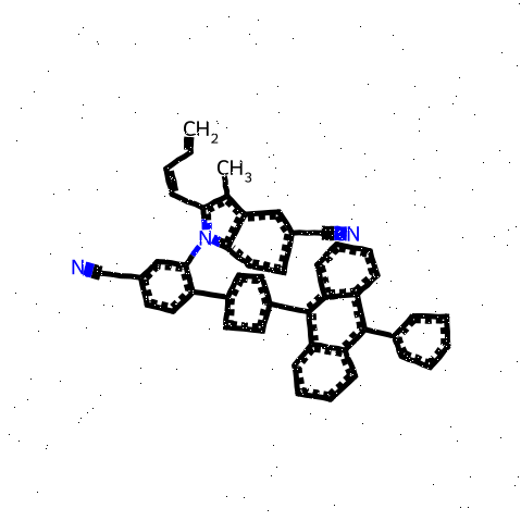 C=C/C=C\c1c(C)c2cc(C#N)ccc2n1-c1cc(C#N)ccc1-c1ccc(-c2c3ccccc3c(-c3ccccc3)c3ccccc23)cc1